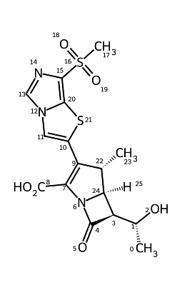 C[C@@H](O)[C@H]1C(=O)N2C(C(=O)O)=C(c3cn4cnc(S(C)(=O)=O)c4s3)[C@H](C)[C@@H]12